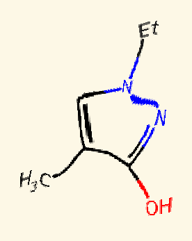 CCn1cc(C)c(O)n1